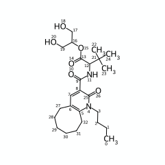 CCCCn1c2c(cc(C(=O)NC(C(=O)OC(CO)CO)C(C)(C)C)c1=O)CCCCCC2